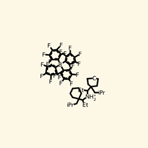 CCC([NH2+]C(CC)C1(CC(C)C)CCCCC1)C1(CC(C)C)CCCCC1.Fc1c(F)c(F)c([B-](c2c(F)c(F)c(F)c(F)c2F)(c2c(F)c(F)c(F)c(F)c2F)c2c(F)c(F)c(F)c(F)c2F)c(F)c1F